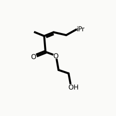 CC(=CCC(C)C)C(=O)OCCO